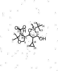 CC1(C)OC[C@H](C(O[Si](C)(C)C(C)(C)C)C(CO)C2CC2)N1C(=O)O